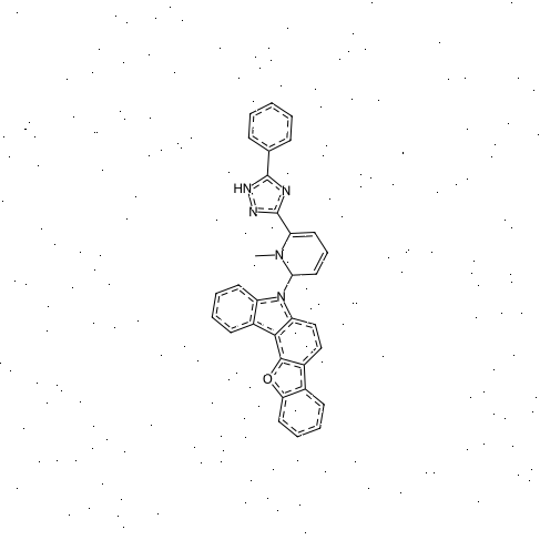 CN1C(c2n[nH]c(-c3ccccc3)n2)=CC=CC1n1c2ccccc2c2c3oc4ccccc4c3ccc21